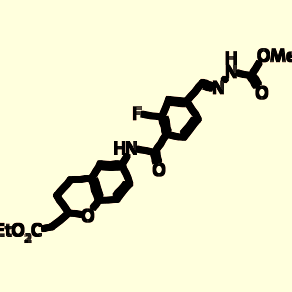 CCOC(=O)CC1CCc2cc(NC(=O)c3ccc(C=NNC(=O)OC)cc3F)ccc2O1